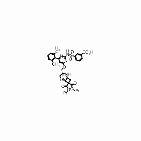 Cc1cccc(C)c1-c1cc(OC[C@@H](CC(C)(C)C)NC2CC(C(=O)OC(C)C)(C(=O)OC(C)C)C2)nc(NS(=O)(=O)c2cccc(C(=O)O)c2)n1